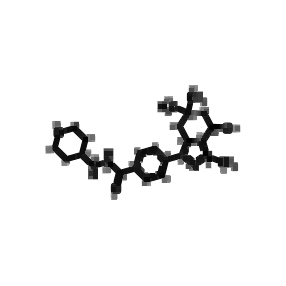 Cn1nc(-c2ccc(C(=O)NNC3CCOCC3)cc2)c2c1C(=O)CC(C)(C)C2